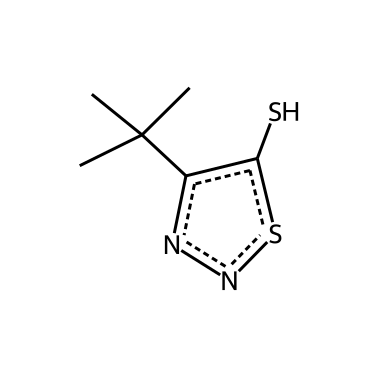 CC(C)(C)c1nnsc1S